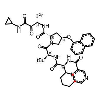 CCC[C@H](NC(=O)[C@@H]1C[C@@H](Oc2cccc3ccccc23)CN1C(=O)[C@@H](NC(=O)[C@@H](NC(=O)c1cnccn1)C1CCCCC1)C(C)(C)C)C(=O)C(=O)NC1CC1